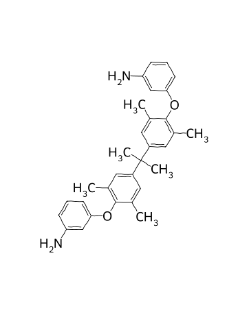 Cc1cc(C(C)(C)c2cc(C)c(Oc3cccc(N)c3)c(C)c2)cc(C)c1Oc1cccc(N)c1